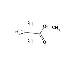 [2H]C([2H])(C)C(=O)OC